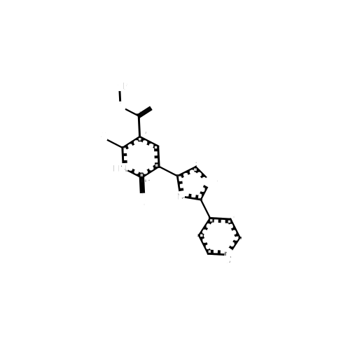 CCCCOC(=O)c1cc(-c2csc(-c3ccncc3)n2)c(=O)[nH]c1C(C)C